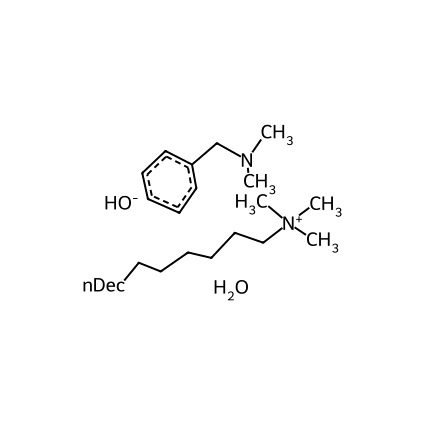 CCCCCCCCCCCCCCCC[N+](C)(C)C.CN(C)Cc1ccccc1.O.[OH-]